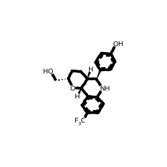 OC[C@@H]1CC[C@@H]2[C@@H](c3ccc(O)cc3)Nc3ccc(C(F)(F)F)cc3[C@@H]2O1